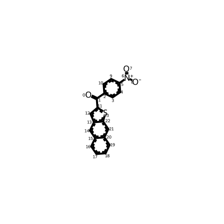 O=C(c1ccc([N+](=O)[O-])cc1)c1cc2cc3ccccc3cc2s1